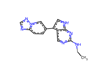 CCNc1ncc2c(-c3ccc4ncnn4c3)c[nH]c2n1